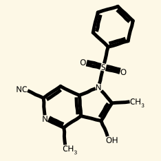 Cc1nc(C#N)cc2c1c(O)c(C)n2S(=O)(=O)c1ccccc1